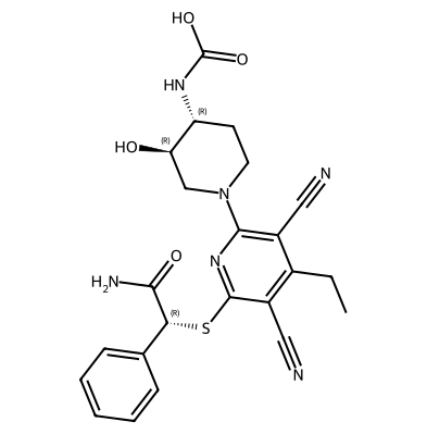 CCc1c(C#N)c(S[C@@H](C(N)=O)c2ccccc2)nc(N2CC[C@@H](NC(=O)O)[C@H](O)C2)c1C#N